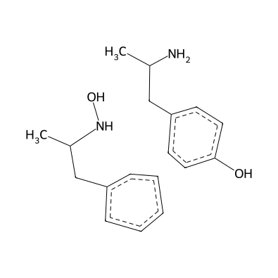 CC(Cc1ccccc1)NO.CC(N)Cc1ccc(O)cc1